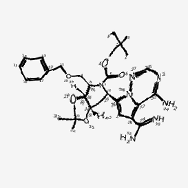 CC(C)(C)OC(=O)N1[C@H](COCc2ccccc2)[C@H]2OC(C)(C)O[C@H]2[C@@H]1c1cc(C(=N)N)c2c(N)ncnn12